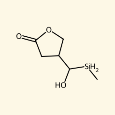 C[SiH2]C(O)C1COC(=O)C1